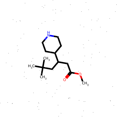 COC(=O)CC(CC(C)(C)C)C1CCNCC1